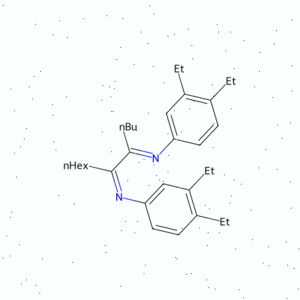 CCCCCCC(=Nc1ccc(CC)c(CC)c1)C(CCCC)=Nc1ccc(CC)c(CC)c1